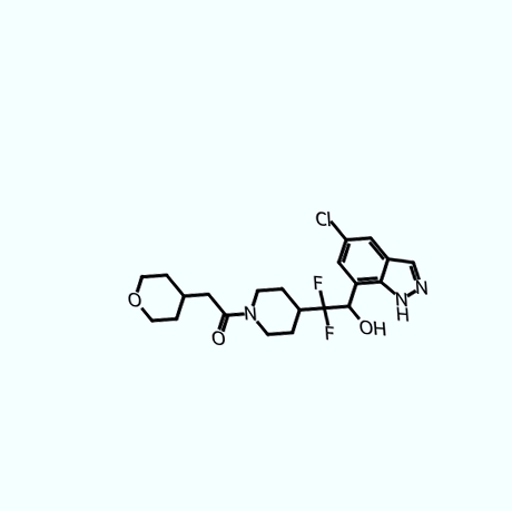 O=C(CC1CCOCC1)N1CCC(C(F)(F)C(O)c2cc(Cl)cc3cn[nH]c23)CC1